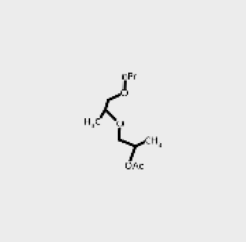 CCCOCC(C)OCC(C)OC(C)=O